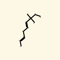 CC=CCC=CC(C)(C)CC